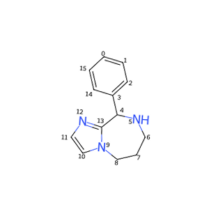 c1ccc(C2NCCCn3ccnc32)cc1